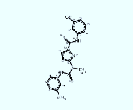 Cc1cccc(NC(=S)N(C)c2ccn(C(=S)Nc3cccc(Cl)c3)n2)c1